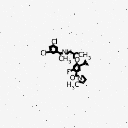 CCC(CCNC(C)c1cc(Cl)cc(Cl)c1)COc1cc(F)c(C(=O)N2CCCC2C)cc1C1CC1